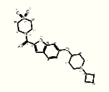 O=C(c1cc2ccc(OC3CCN(C4CCC4)CC3)cc2o1)N1CCS(=O)(=O)CC1